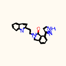 O=C1c2c(cccc2-c2cc[nH]n2)CN1CCc1ccc2ccccc2n1